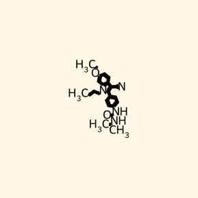 CCCCn1c(-c2ccc(NC(=O)NC(C)C)cc2)c(C#N)c2ccc(OCC)cc21